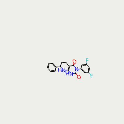 O=c1[nH]c2c(c(=O)n1-c1cc(F)cc(F)c1)CC[C@H](c1ccccc1)N2